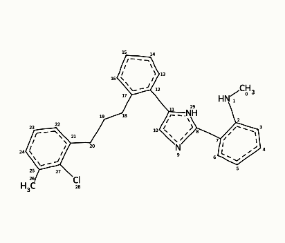 CNc1ccccc1-c1ncc(-c2ccccc2CCCc2cccc(C)c2Cl)[nH]1